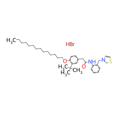 Br.CCCCCCCCCCCCCCOc1ccc(CC(=O)Nc2ccccc2CN2C=CSC2)cc1C(C)(C)C